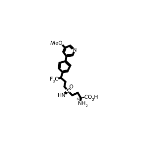 COc1cncc(-c2ccc(C(CCS(=N)(=O)CC[C@H](N)C(=O)O)C(F)(F)F)cc2)c1